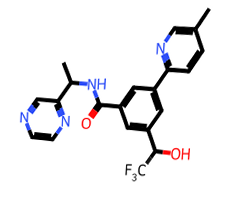 Cc1ccc(-c2cc(C(=O)NC(C)c3cnccn3)cc(C(O)C(F)(F)F)c2)nc1